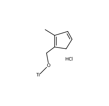 CC1=C(C[O][Ti])CC=C1.Cl